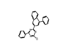 Clc1nc(-c2ccccc2)nc(-c2cc(-c3ccccc3)c3ccccc3c2)n1